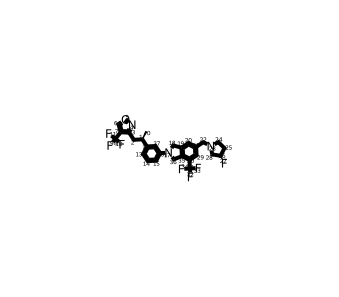 C[C@H](Cc1nocc1C(F)(F)F)c1cccc(N2Cc3cc(CN4CC[C@H](F)C4)cc(C(F)(F)F)c3C2)c1